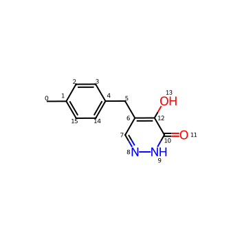 Cc1ccc(Cc2cn[nH]c(=O)c2O)cc1